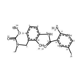 CN(Cc1cccc(NC(=O)c2nc(I)cnc2N)c1O)C(=O)OC(C)(C)C